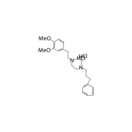 COc1ccc(CCN2CCN(CCCc3ccccc3)CC2)cc1OC.Cl.Cl